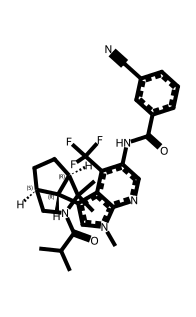 CC(C)C(=O)N1C[C@H]2CC[C@H]([C@@H]2c2cn(C)c3ncc(NC(=O)c4cccc(C#N)c4)c(C(F)(F)F)c23)C1(C)C